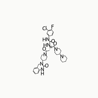 O=C(Nc1ccc(F)c(Cl)c1)N[C@@H](CC(=O)N1CCC(N2Cc3ccccc3NC2=O)CC1)C(=O)N1CCC(N2CCCCC2)CC1